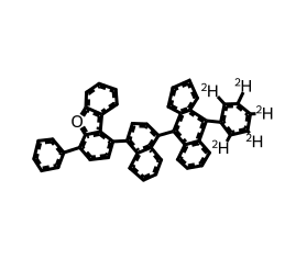 [2H]c1c([2H])c([2H])c(-c2c3ccccc3c(-c3ccc(-c4ccc(-c5ccccc5)c5oc6ccccc6c45)c4ccccc34)c3ccccc23)c([2H])c1[2H]